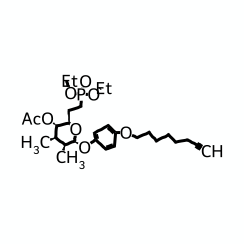 C#CCCCCCCOc1ccc(O[C@H]2O[C@H](CCP(=O)(OCC)OCC)[C@@H](OC(C)=O)[C@H](C)[C@@H]2C)cc1